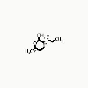 CCN[C@@H]1CC[C@@H](C)OC1C